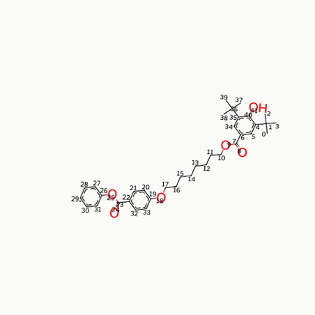 CC(C)(C)c1cc(C(=O)OCCCCCCCCOc2ccc(C(=O)Oc3cc[c]cc3)cc2)cc(C(C)(C)C)c1O